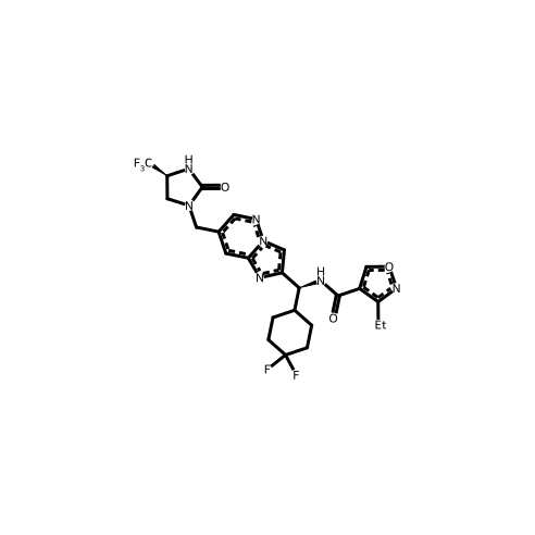 CCc1nocc1C(=O)N[C@H](c1cn2ncc(CN3C[C@@H](C(F)(F)F)NC3=O)cc2n1)C1CCC(F)(F)CC1